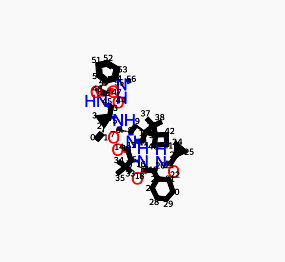 C=C[C@@H]1C[C@]1(NC(=O)[C@@H]1C[C@@]2(CN1C(=O)[C@@H](NC(=O)[C@@H](NC(=O)C1CC1)C1CCCCC1)C(C)(C)C)C(C)(C)C21CCC1)C(=O)NS(=O)(=O)c1ccccc1NC